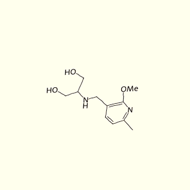 COc1nc(C)ccc1CNC(CO)CO